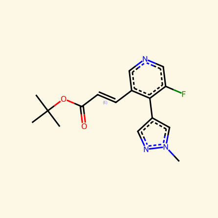 Cn1cc(-c2c(F)cncc2/C=C/C(=O)OC(C)(C)C)cn1